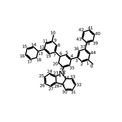 Cc1cc(C2=CC(c3cc(C)cc(C4C=CC=CC4)c3)CC(N3c4ccccc4C4C=CC=CC43)=C2)cc(-c2ccccc2)c1